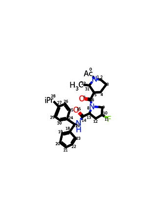 CC(=O)N1CCCC(C(=O)N2CC(F)CC2C(=O)NC(c2ccccc2)c2ccc(C(C)C)cc2)C1C